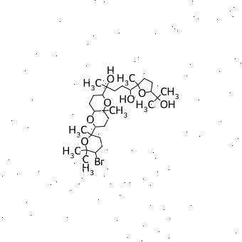 CC(C)(O)C1CCC(C)(C(O)CCC(C)(O)C2CCC3OC(C4(C)CCC(Br)C(C)(C)O4)CCC3(C)O2)O1